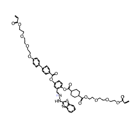 C=CC(=O)OCCOCCOCCOC(=O)C1CCC(C(=O)Oc2ccc(OC(=O)c3ccc(-c4ccc(OCCOCCOCCOC(=O)C=C)cc4)cc3)cc2/C=N/Nc2nc3ccccc3s2)CC1